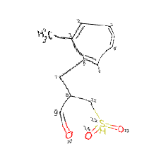 Cc1ccccc1CC(C=O)C[SH](=O)=O